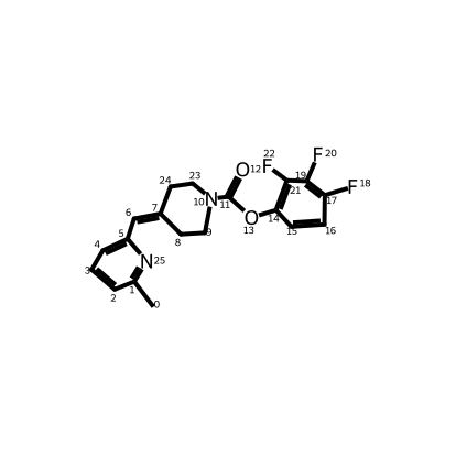 Cc1cccc(C=C2CCN(C(=O)Oc3ccc(F)c(F)c3F)CC2)n1